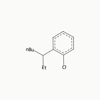 CCCCC(CC)c1ccccc1Cl